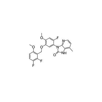 COc1cc(F)c(-n2c(=O)[nH]c3c(C)ccnc32)cc1OCc1c(OC)ccc(F)c1F